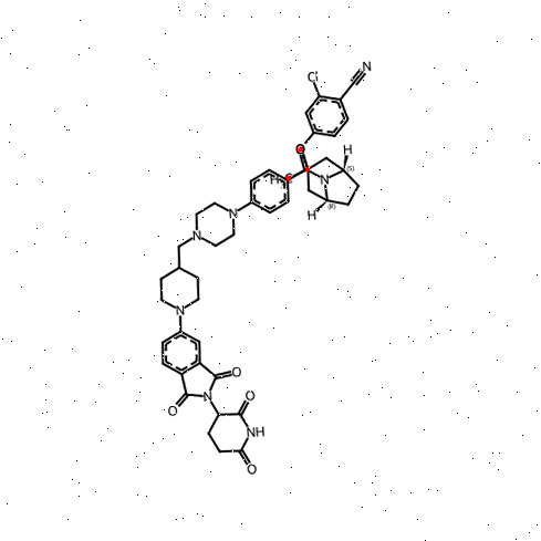 CC1(Oc2ccc(C#N)c(Cl)c2)C[C@H]2CC[C@@H](C1)N2C(=O)c1ccc(N2CCN(CC3CCN(c4ccc5c(c4)C(=O)N(C4CCC(=O)NC4=O)C5=O)CC3)CC2)cc1